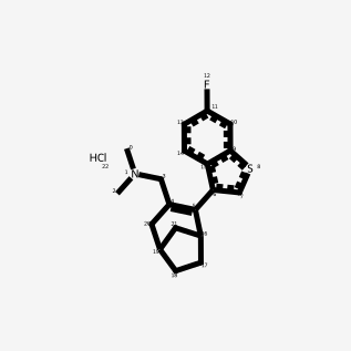 CN(C)CC1=C(c2csc3cc(F)ccc23)C2CCC(C1)C2.Cl